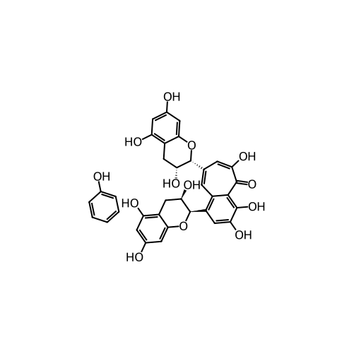 O=c1c(O)cc([C@H]2Oc3cc(O)cc(O)c3C[C@H]2O)cc2c([C@H]3Oc4cc(O)cc(O)c4C[C@H]3O)cc(O)c(O)c12.Oc1ccccc1